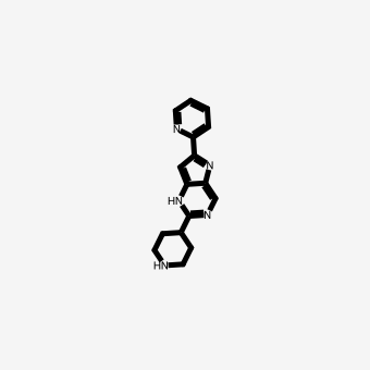 c1ccc(-c2cc3[nH]c(C4CCNCC4)ncc-3n2)nc1